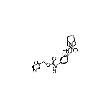 O=C(Nc1ccc(CC2CC3CCC(C2)N3C(=O)N2CCC2)cc1)OCc1cnco1